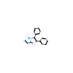 c1ccc(-c2nc3cc[nH]n3c2-c2ccccc2)cc1